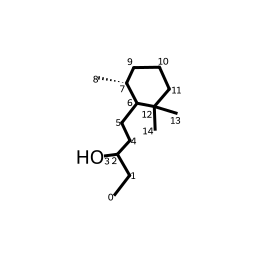 CCC(O)CCC1[C@H](C)CCCC1(C)C